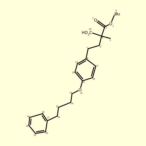 CCC(C)OC(=O)C(C)(CCc1ccc(OCCCCc2ccccc2)cc1)C(=O)O